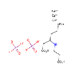 CCCCCCCCCCCCC(CC(=O)O)NCCC(=O)O.O=P([O-])([O-])[O-].O=P([O-])([O-])[O-].[Ca+2].[Ca+2].[Ca+2]